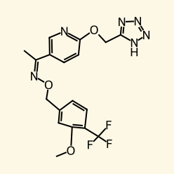 COc1cc(CON=C(C)c2ccc(OCc3nnn[nH]3)nc2)ccc1C(F)(F)F